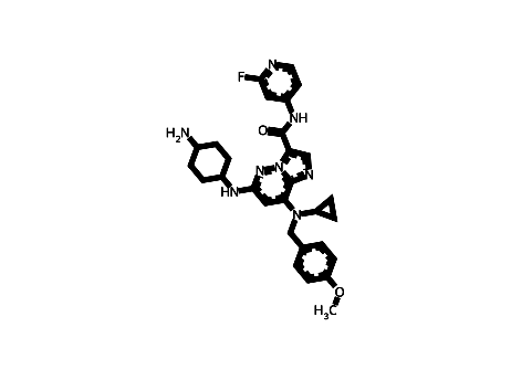 COc1ccc(CN(c2cc(NC3CCC(N)CC3)nn3c(C(=O)Nc4ccnc(F)c4)cnc23)C2CC2)cc1